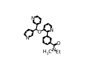 CCN(C)C(=O)c1cccc(-c2ncccc2OC(c2cccnc2)c2cccnc2)c1